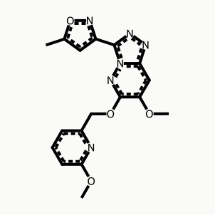 COc1cccc(COc2nn3c(-c4cc(C)on4)nnc3cc2OC)n1